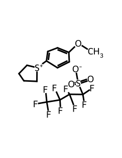 COc1ccc([S+]2CCCC2)cc1.O=S(=O)([O-])C(F)(F)C(F)(F)C(F)(F)C(F)(F)F